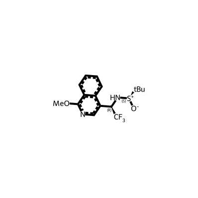 COc1ncc([C@@H](N[S@+]([O-])C(C)(C)C)C(F)(F)F)c2ccccc12